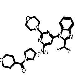 O=C(C1CCOCC1)N1CC[C@H](Nc2cc(-n3c(C(F)F)nc4ccccc43)nc(N3CCOCC3)n2)C1